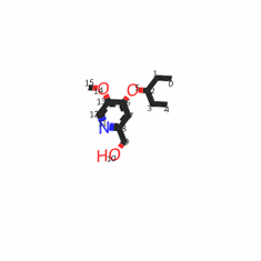 CCC(CC)Oc1cc(CO)ncc1OC